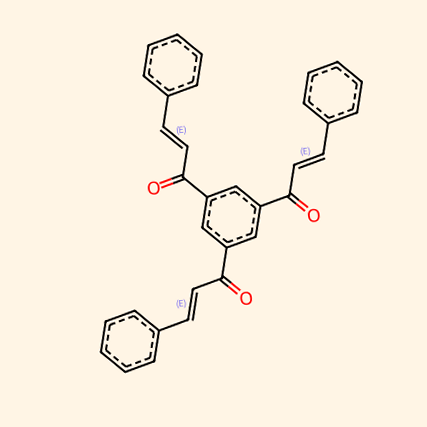 O=C(/C=C/c1ccccc1)c1cc(C(=O)/C=C/c2ccccc2)cc(C(=O)/C=C/c2ccccc2)c1